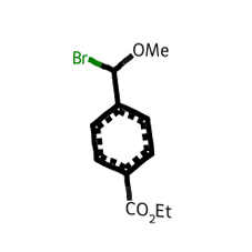 CCOC(=O)c1ccc(C(Br)OC)cc1